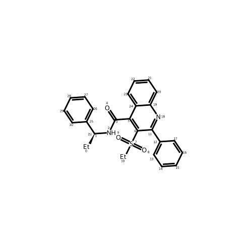 CC[C@H](NC(=O)c1c(S(=O)(=O)CC)c(-c2ccccc2)nc2ccccc12)c1ccccc1